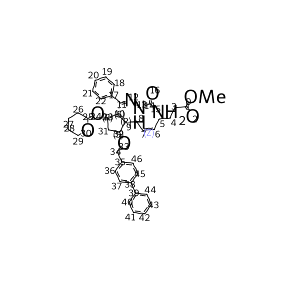 COC(=O)CCC/C=C\C[C@@H]1[C@@H](C(=NNC(N)=O)c2ccccc2)[C@H](OC2CCCCO2)C[C@@H]1OCc1ccc(-c2ccccc2)cc1